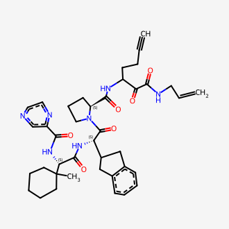 C#CCCC(NC(=O)[C@@H]1CCCN1C(=O)[C@@H](NC(=O)[C@@H](NC(=O)c1cnccn1)C1(C)CCCCC1)C1Cc2ccccc2C1)C(=O)C(=O)NCC=C